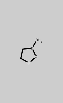 BB1CCOO1